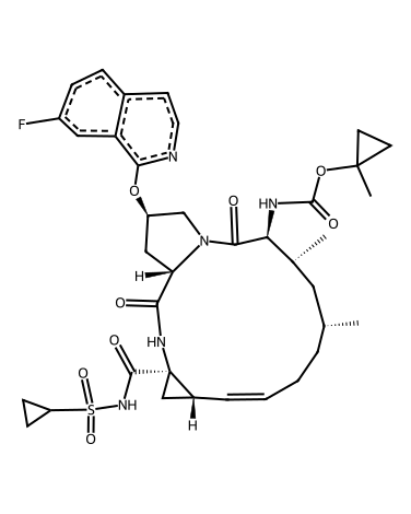 C[C@@H]1CC/C=C\[C@@H]2C[C@@]2(C(=O)NS(=O)(=O)C2CC2)NC(=O)[C@@H]2C[C@@H](Oc3nccc4ccc(F)cc34)CN2C(=O)[C@@H](NC(=O)OC2(C)CC2)[C@H](C)C1